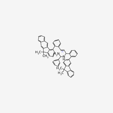 CC1(C)c2ccccc2-c2cc(-c3ccccc3C(/C=C/c3ccccc3-c3cccc4c3-c3cc5ccccc5cc3C4(C)C)NC(N)c3ccccc3)ccc21